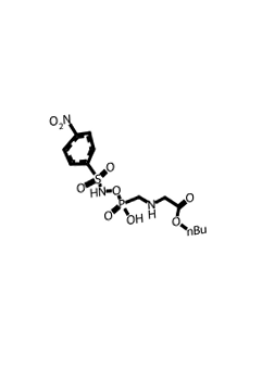 CCCCOC(=O)CNCP(=O)(O)ONS(=O)(=O)c1ccc([N+](=O)[O-])cc1